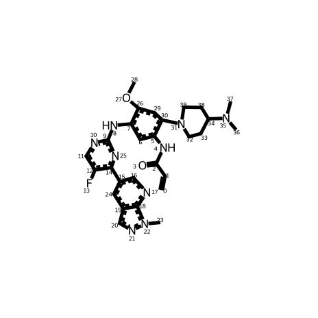 C=CC(=O)Nc1cc(Nc2ncc(F)c(-c3cnc4c(cnn4C)c3)n2)c(OC)cc1N1CCC(N(C)C)CC1